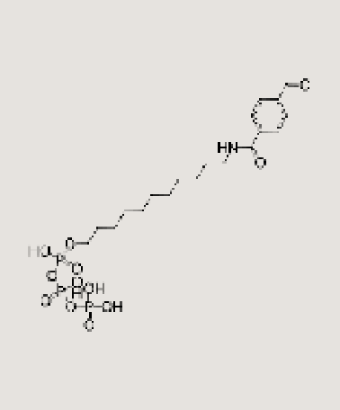 O=Cc1ccc(C(=O)NCCCCCCCCCCCOP(=O)(O)OP(=O)(O)OP(=O)(O)O)cc1